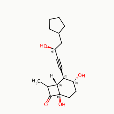 CC1C(=O)[C@@]2(O)CC[C@@H](O)[C@H](C#C[C@@H](O)CC3CCCC3)[C@@H]12